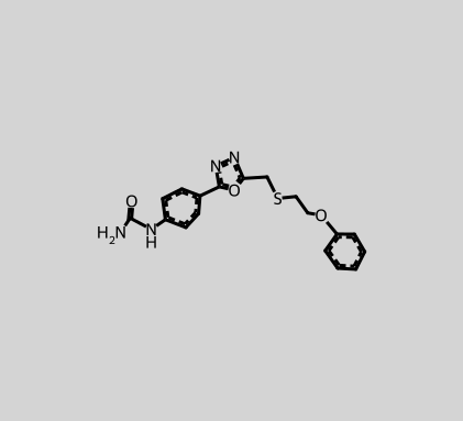 NC(=O)Nc1ccc(-c2nnc(CSCCOc3ccccc3)o2)cc1